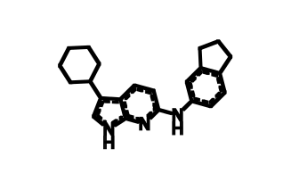 c1cc2c(cc1Nc1ccc3c(C4CCCCC4)c[nH]c3n1)CCC2